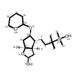 CC(C)(CC[C@@H]1[C@H]2CC(O)O[C@H]2C[C@H]1OC1CCCCO1)[Si](C)(C)O